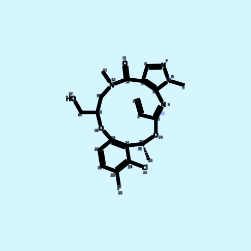 C=C/C1=N\c2c(cnn2C)C(=O)N(C)CC(CO)Oc2ccc(F)c(Cl)c2[C@@H](C)O1